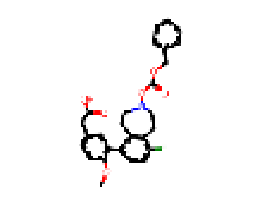 COc1ccc(CC(=O)O)cc1-c1ccc(F)c2c1CCN(OC(=O)OCc1ccccc1)CC2